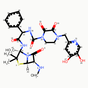 CC1(C)S[C@@H]2[C@H](NC=O)C(=O)N2[C@@]1(NC(=O)C(NC(=O)N1CCN(Cc2cc(O)c(O)cn2)C(=O)C1=O)c1ccccc1)C(=O)O